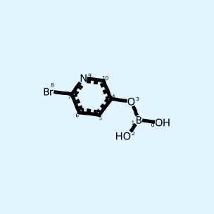 OB(O)Oc1ccc(Br)nc1